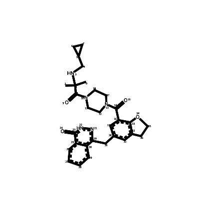 CC(C)(NCC1CC1)C(=O)N1CCN(C(=O)c2cc(Cc3n[nH]c(=O)c4ccccc34)cc3c2OCC3)CC1